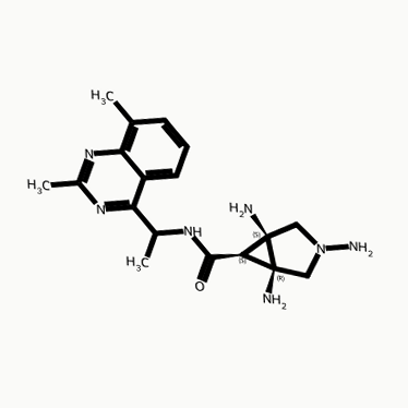 Cc1nc(C(C)NC(=O)[C@H]2[C@]3(N)CN(N)C[C@]23N)c2cccc(C)c2n1